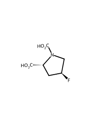 O=C(O)[C@H]1C[C@H](F)CN1C(=O)O